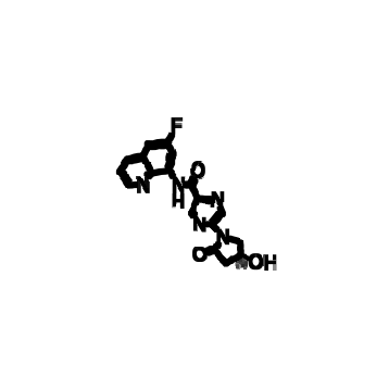 O=C(Nc1cc(F)cc2cccnc12)c1cnc(N2C[C@@H](O)CC2=O)cn1